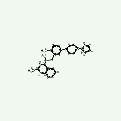 CCCN(Cc1cc(-c2ccc(-c3ncc[nH]3)cc2)ccc1C)c1nc(C)nc2ccccc12